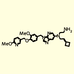 COc1ccc(COc2ccc(Cn3cnc4cc(N(CC=C5CCC5)CCN)cnc43)cc2OC)cn1